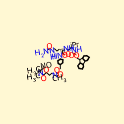 CC(C)C(NC(=O)OCC1c2ccccc2-c2ccccc21)C(=O)N[C@@H](CCCNC(N)=O)C(=O)Nc1ccc(COC(=O)N(C)CCCC(=O)N(C)[C@@H](C)C(=O)N=O)cc1